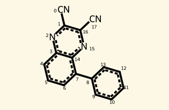 N#Cc1nc2cccc(-c3ccccc3)c2nc1C#N